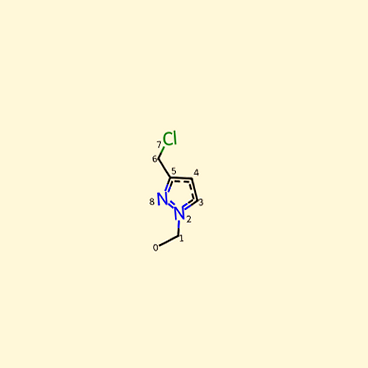 CCn1ccc(CCl)n1